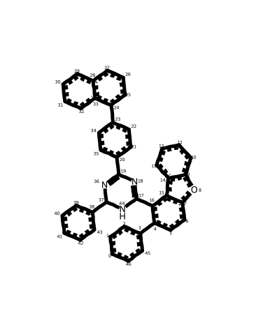 c1ccc(-c2ccc3oc4ccccc4c3c2C2=NC(c3ccc(-c4cccc5ccccc45)cc3)=NC(c3ccccc3)N2)cc1